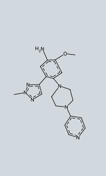 COc1cc(N2CCN(c3ccncc3)CC2)c(-c2cnn(C)n2)cc1N